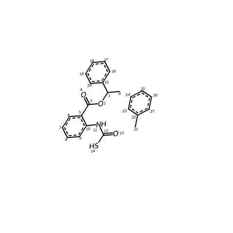 CC(OC(=O)c1ccccc1NC(=O)S)c1ccccc1.Cc1ccccc1